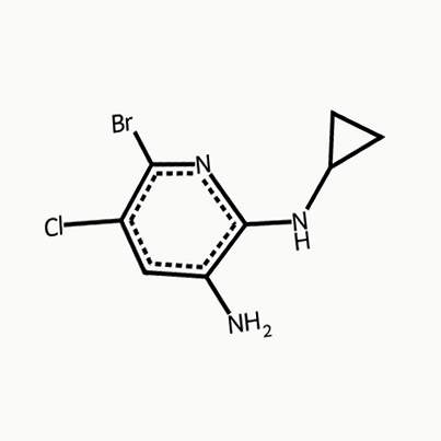 Nc1cc(Cl)c(Br)nc1NC1CC1